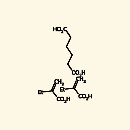 C=C(CC)C(=O)O.C=C(CC)C(=O)O.O=C(O)CCCCC(=O)O